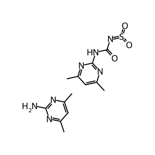 Cc1cc(C)nc(N)n1.Cc1cc(C)nc(NC(=O)N=S(=O)=O)n1